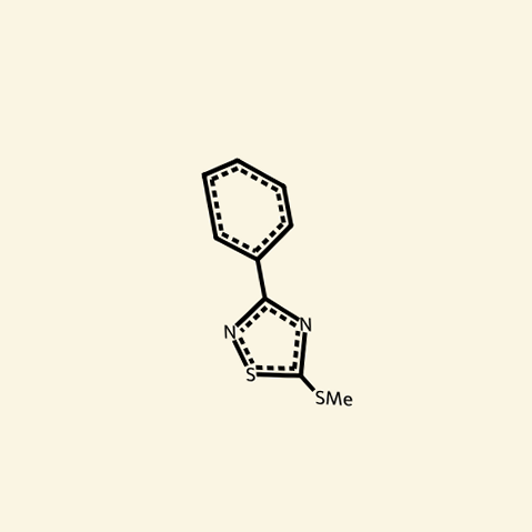 CSc1nc(-c2ccccc2)ns1